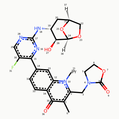 Cc1c(CN2CCOC2=O)n(C(C)C)c2cc(-c3nc(N[C@@H]4C[C@H]5CO[C@H](O5)[C@H]4O)ncc3F)ccc2c1=O